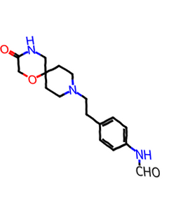 O=CNc1ccc(CCN2CCC3(CC2)CNC(=O)CO3)cc1